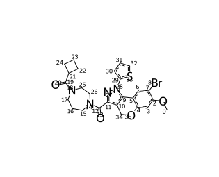 COc1cc2c(cc1Br)-c1c(c(C(=O)N3CCCN(C(=O)C4CCC4)CC3)nn1-c1cccs1)CO2